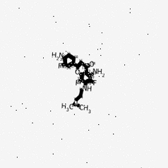 CN(C)CCCNc1c(F)c(N)c2c(=O)cc(-c3ccc(N)c(F)c3)oc2c1F